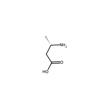 C[C@H](N)CC(=O)O